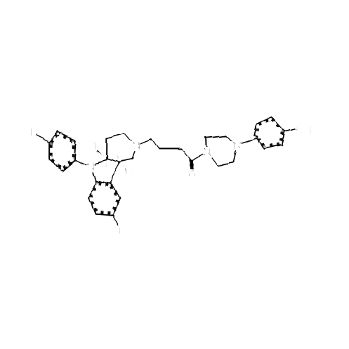 Cc1ccc(N2CCN(C(=O)CCCN3CC[C@@H]4[C@@H](C3)c3cc(F)ccc3N4c3ccc(F)cc3)CC2)cc1